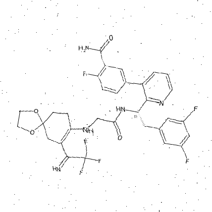 N=C(C1=C(NCC(=O)N[C@@H](Cc2cc(F)cc(F)c2)c2ncccc2-c2ccc(F)c(C(N)=O)c2)CCC2(C1)OCCO2)C(F)(F)F